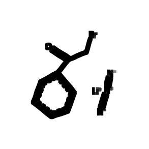 O=C(CBr)c1ccccc1.[Li+].[N-]=[N+]=[N-]